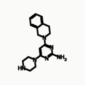 Nc1nc(N2CCNCC2)cc(N2CCc3ccccc3C2)n1